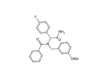 COc1cccc(CN(C(=O)c2ccccc2)C(C(N)=O)c2ccc(F)cc2)c1